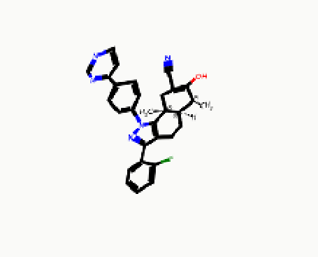 C[C@H]1C(O)=C(C#N)C[C@@]2(C)c3c(c(-c4ccccc4F)nn3-c3ccc(-c4ccncn4)cc3)CC[C@H]12